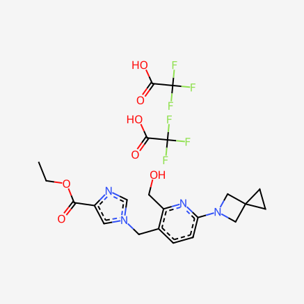 CCOC(=O)c1cn(Cc2ccc(N3CC4(CC4)C3)nc2CO)cn1.O=C(O)C(F)(F)F.O=C(O)C(F)(F)F